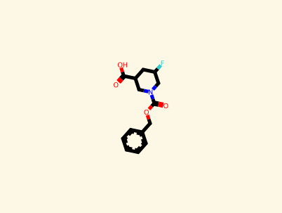 O=C(O)C1CC(F)CN(C(=O)OCc2ccccc2)C1